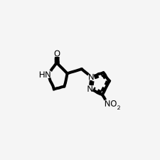 O=C1NCCC1Cn1ccc([N+](=O)[O-])n1